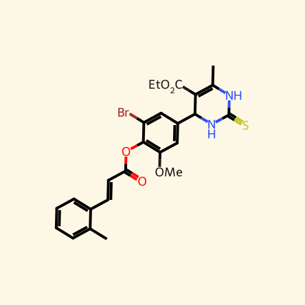 CCOC(=O)C1=C(C)NC(=S)NC1c1cc(Br)c(OC(=O)/C=C/c2ccccc2C)c(OC)c1